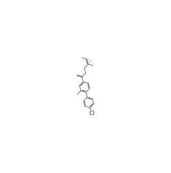 C=C(CC/C(C)=C\C)c1ccc(-c2ccc(Cl)cc2)c(C)c1